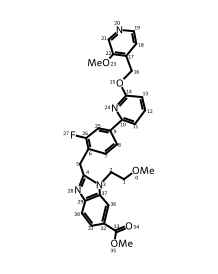 COCCn1c(Cc2ccc(-c3cccc(OCc4ccncc4OC)n3)cc2F)nc2ccc(C(=O)OC)cc21